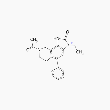 C/C=C1/C(=O)Nc2c1cc(-c1ccccc1)c1c2CN(C(C)=O)CC1